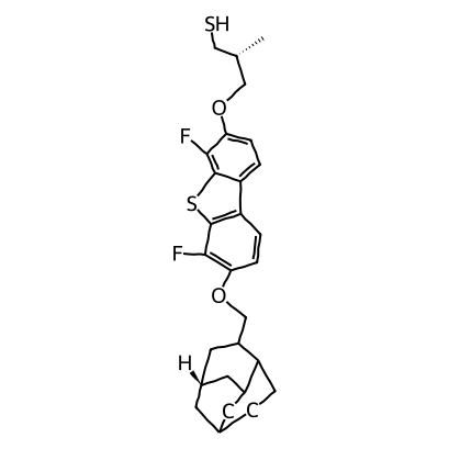 C[C@@H](CS)COc1ccc2c(sc3c(F)c(OCC4C[C@H]5CC6CCC4C(C6)C5)ccc32)c1F